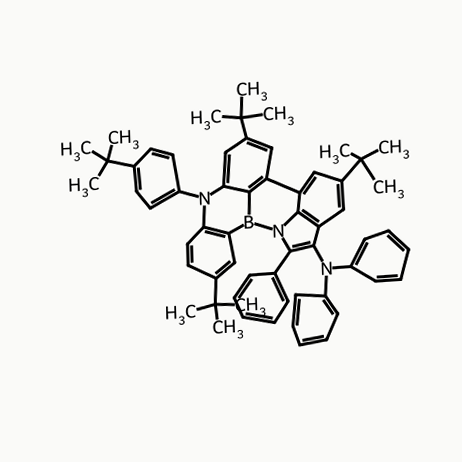 CC(C)(C)c1ccc(N2c3ccc(C(C)(C)C)cc3B3c4c(cc(C(C)(C)C)cc42)-c2cc(C(C)(C)C)cc4c(N(c5ccccc5)c5ccccc5)c(-c5ccccc5)n3c24)cc1